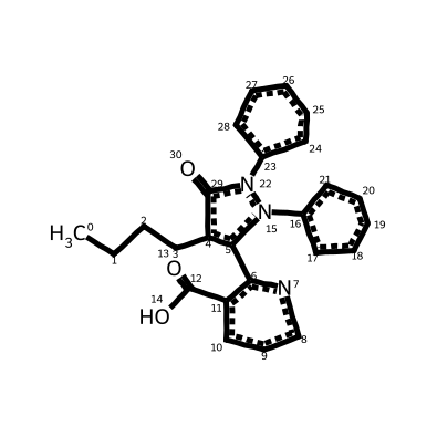 CCCCc1c(-c2ncccc2C(=O)O)n(-c2ccccc2)n(-c2ccccc2)c1=O